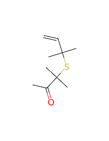 C=CC(C)(C)SC(C)(C)C(C)=O